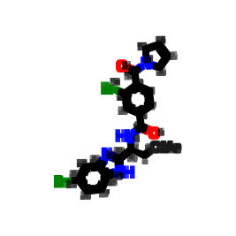 COC[C@H](NC(=O)c1ccc(C(=O)N2CC=CC2)c(Br)c1)c1nc2cc(Br)ccc2[nH]1